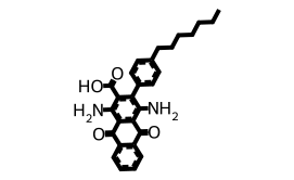 CCCCCCCc1ccc(-c2c(N)c3c(c(N)c2C(=O)O)C(=O)c2ccccc2C3=O)cc1